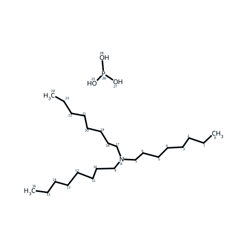 CCCCCCCCN(CCCCCCCC)CCCCCCCC.OP(O)O